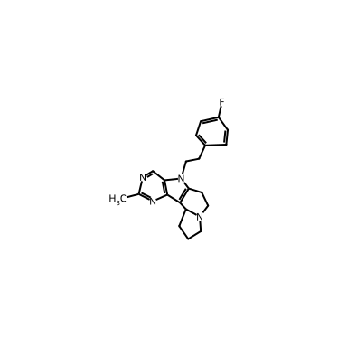 Cc1ncc2c(n1)c1c(n2CCc2ccc(F)cc2)CCN2CCCC12